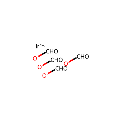 O=C[O-].O=C[O-].O=C[O-].O=C[O-].[Ir+4]